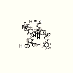 COc1ccc(CN=S(=O)(NC2(CCCC(C)Cl)CCN(C(=O)OCc3ccccc3)C2)c2ccc(OC(F)(F)F)cc2)cc1OC